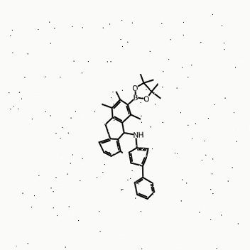 Cc1cccc2c1C(Nc1ccc(-c3ccccc3)cc1)c1c(C)c(B3OC(C)(C)C(C)(C)O3)c(C)c(C)c1C2